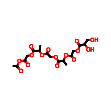 CC(=O)OC(=O)COC(=O)C(C)OC(=O)COC(=O)C(C)OC(=O)COC(=O)C(O)CO